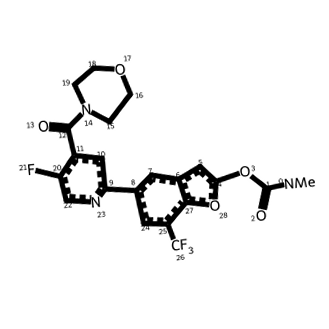 CNC(=O)Oc1cc2cc(-c3cc(C(=O)N4CCOCC4)c(F)cn3)cc(C(F)(F)F)c2o1